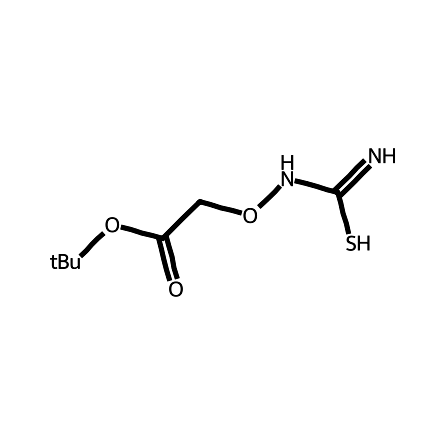 CC(C)(C)OC(=O)CONC(=N)S